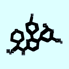 C=C(Nc1ccc(-c2cc(C)nc(Cl)c2)c(-c2ccc(F)cc2)n1)N1CCOCC1